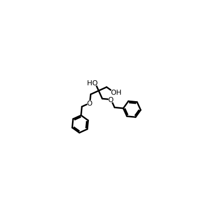 OCC(O)(COCc1ccccc1)COCc1ccccc1